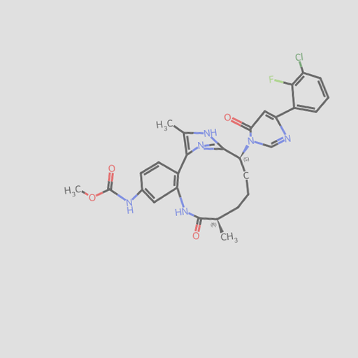 COC(=O)Nc1ccc2c(c1)NC(=O)[C@H](C)CCC[C@H](n1cnc(-c3cccc(Cl)c3F)cc1=O)c1nc-2c(C)[nH]1